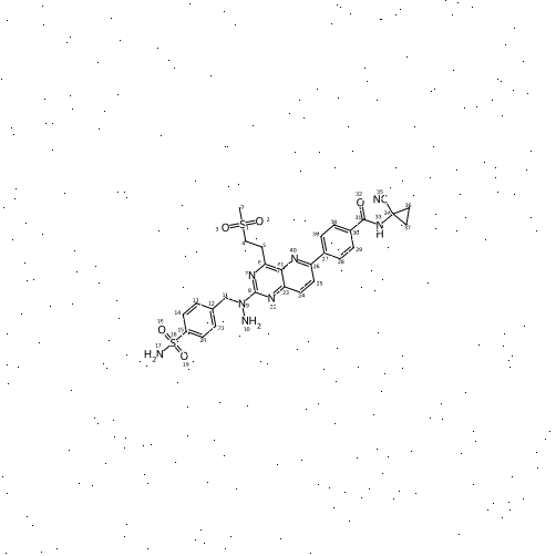 CS(=O)(=O)CCc1nc(N(N)Cc2ccc(S(N)(=O)=O)cc2)nc2ccc(-c3ccc(C(=O)NC4(C#N)CC4)cc3)nc12